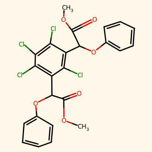 COC(=O)C(Oc1ccccc1)c1c(Cl)c(Cl)c(Cl)c(C(Oc2ccccc2)C(=O)OC)c1Cl